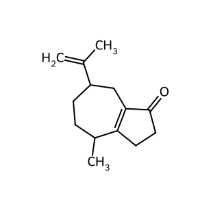 C=C(C)C1CCC(C)C2=C(C1)C(=O)CC2